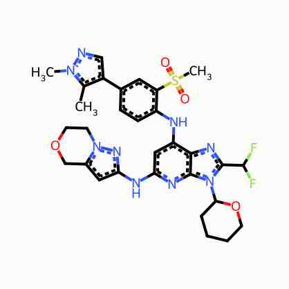 Cc1c(-c2ccc(Nc3cc(Nc4cc5n(n4)CCOC5)nc4c3nc(C(F)F)n4C3CCCCO3)c(S(C)(=O)=O)c2)cnn1C